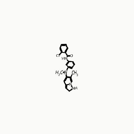 CC1=CN2NCC=C2C=C1N(C)c1cccc(NC(=O)c2ccccc2Cl)c1